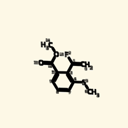 C=C(F)c1c(SC)cccc1C(=O)OC